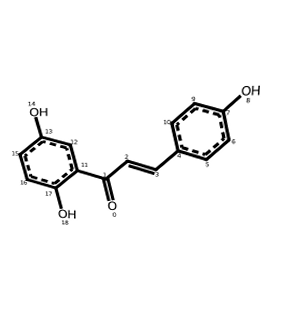 O=C(/C=C/c1ccc(O)cc1)c1cc(O)ccc1O